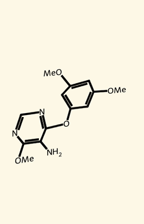 COc1cc(OC)cc(Oc2ncnc(OC)c2N)c1